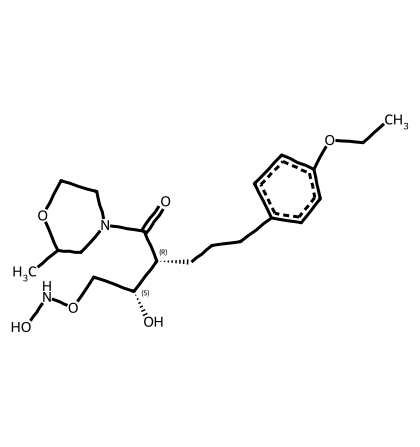 CCOc1ccc(CCC[C@@H](C(=O)N2CCOC(C)C2)[C@H](O)CONO)cc1